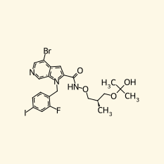 C[C@@H](CONC(=O)c1cc2c(Br)cncc2n1Cc1ccc(I)cc1F)COC(C)(C)O